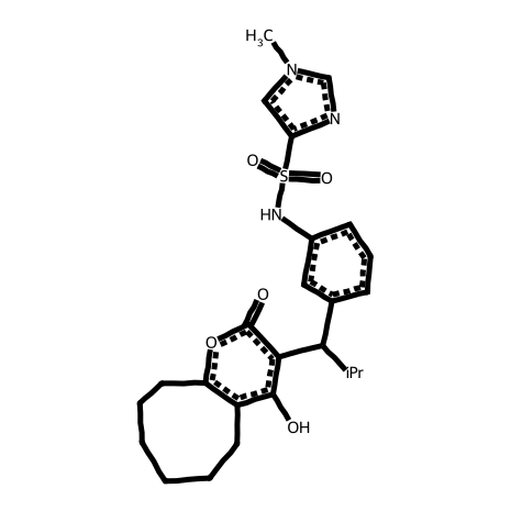 CC(C)C(c1cccc(NS(=O)(=O)c2cn(C)cn2)c1)c1c(O)c2c(oc1=O)CCCCCC2